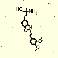 COc1ccc(/C=C/c2nc3cc(CC[C@@](C)(N)CO)ccc3o2)cc1OC